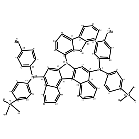 CC(C)(C)c1ccc(N(c2ccc([Si](C)(C)C)cc2)c2cc3c(c4ccccc24)c2c4ccccc4c(N(c4ccc(C(C)(C)C)cc4)c4ccc([Si](C)(C)C)cc4)cc2n3-c2cccc3c2sc2ccccc23)cc1